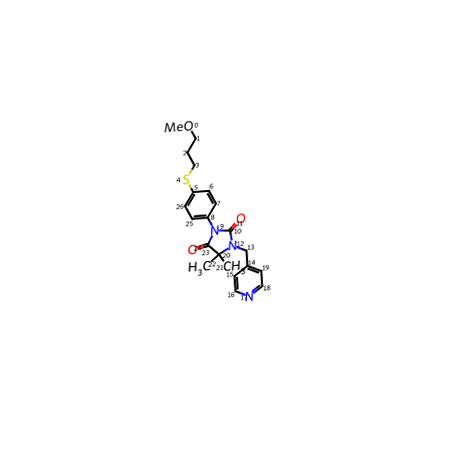 COCCCSc1ccc(N2C(=O)N(Cc3ccncc3)C(C)(C)C2=O)cc1